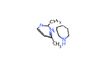 C1CCNCC1.Cc1ccnc(C)n1